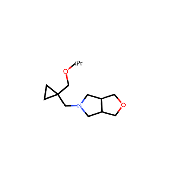 CC(C)OCC1(CN2CC3COCC3C2)CC1